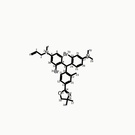 C=CCN(C)c1ccc(C(c2ccc(C3=NC(C)(C)CO3)cc2C)c2ccc(N(C)C)cc2Br)c(Br)c1